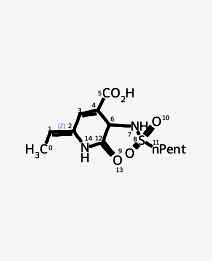 C/C=C1/C=C(C(=O)O)C(NS(=O)(=O)CCCCC)C(=O)N1